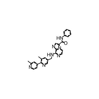 Cc1cc(-c2ncc(CNc3nccn4c(C(=O)Nc5ccccc5)cnc34)cc2C)ccn1